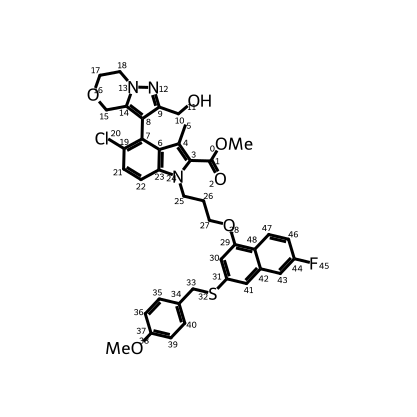 COC(=O)c1c(C)c2c(-c3c(CO)nn4c3COCC4)c(Cl)ccc2n1CCCOc1cc(SCc2ccc(OC)cc2)cc2cc(F)ccc12